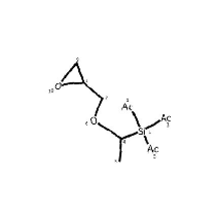 CC(=O)[Si](C(C)=O)(C(C)=O)C(C)OCC1CO1